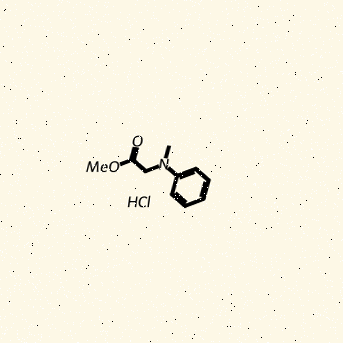 COC(=O)CN(C)c1ccccc1.Cl